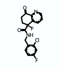 O=C1CC[C@@](F)(C(=O)NCc2ccc(F)cc2Cl)c2cccnc21